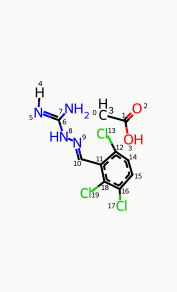 CC(=O)O.[H]/N=C(\N)NN=Cc1c(Cl)ccc(Cl)c1Cl